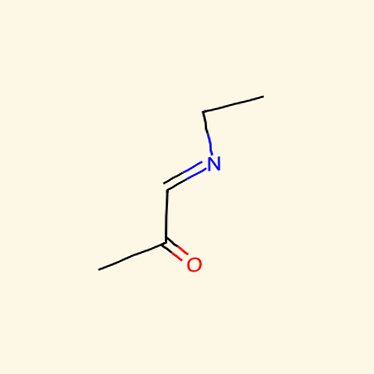 CC/N=C/C(C)=O